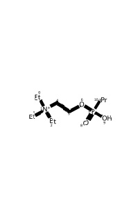 CC[N+](CC)(CC)CCOP(=O)(O)C(C)C